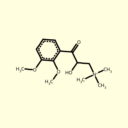 COc1cccc(C(=O)C(O)C[N+](C)(C)C)c1OC